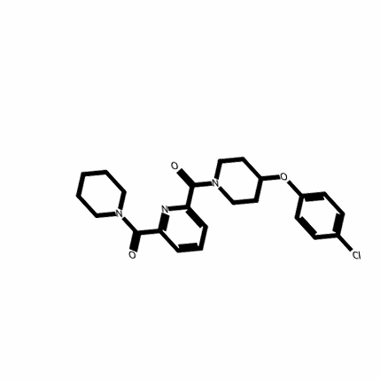 O=C(c1cccc(C(=O)N2CCC(Oc3ccc(Cl)cc3)CC2)n1)N1CCCCC1